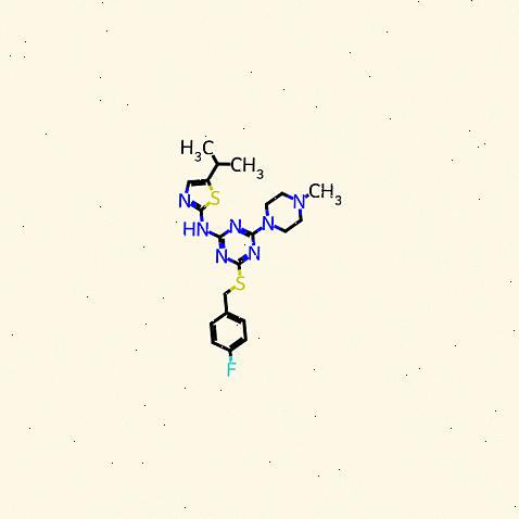 CC(C)c1cnc(Nc2nc(SCc3ccc(F)cc3)nc(N3CCN(C)CC3)n2)s1